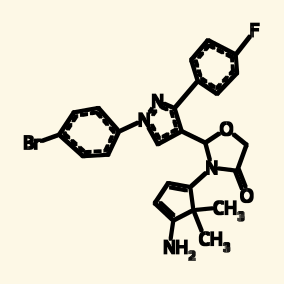 CC1(C)C(N)=CC=C1N1C(=O)COC1c1cn(-c2ccc(Br)cc2)nc1-c1ccc(F)cc1